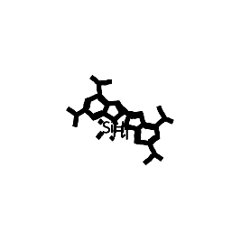 CC1=Cc2c(C(C)C)cc(C(C)C)cc2[CH]1[Hf]([CH3])([CH3])([CH]1C(C)=Cc2c(C(C)C)cc(C(C)C)cc21)[SiH](C)C